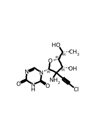 C[C@@H](O)[C@H]1O[C@@H](n2cnc(=O)[nH]c2=O)C(N)(C#CCl)[C@H]1O